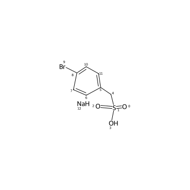 O=S(=O)(O)Cc1ccc(Br)cc1.[NaH]